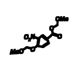 COCOC(=O)c1ccc(OCOC)c([N+](=O)[O-])c1